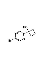 OC1(c2ccc(Br)cn2)CCC1